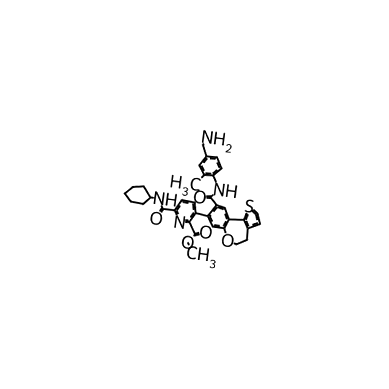 COC(=O)c1nc(C(=O)NC2CCCCC2)ccc1-c1cc2c(cc1C(=O)Nc1ccc(CN)cc1C)-c1sccc1CCO2